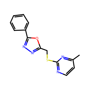 Cc1ccnc(SCc2nnc(-c3ccccc3)o2)n1